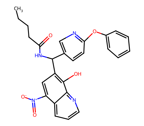 CCCCC(=O)NC(c1ccc(Oc2ccccc2)nc1)c1cc([N+](=O)[O-])c2cccnc2c1O